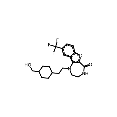 O=C1NCCN(CCC2CCC(CO)CC2)c2c1oc1ccc(C(F)(F)F)cc21